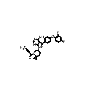 CC#CC(=O)N1C[C@H](n2nc(-c3ccc(Oc4ccc(F)cc4F)cc3)c3c(N)ncnc32)CCC12CC2